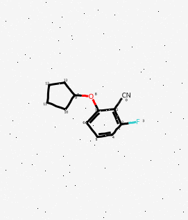 N#Cc1c(F)cccc1OC1CCCC1